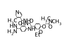 CCOc1cc(C(Nc2ccc(C(=N)N)cc2)C(=O)NNC(=O)c2ccncc2C)ccc1OCC(=O)N(C)C